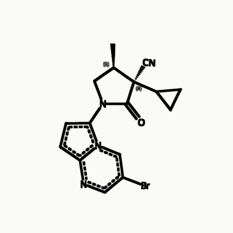 C[C@@H]1CN(c2ccc3ncc(Br)cn23)C(=O)[C@]1(C#N)C1CC1